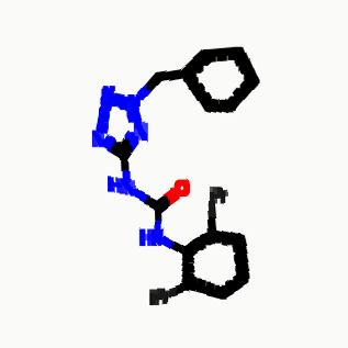 CC(C)c1cccc(C(C)C)c1NC(=O)Nc1nnn(Cc2ccccc2)n1